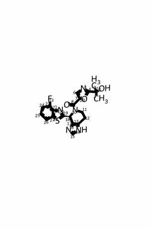 CC(C)(O)c1ncc(C(=O)N2CCc3[nH]cnc3[C@H]2c2nc3c(F)cccc3s2)o1